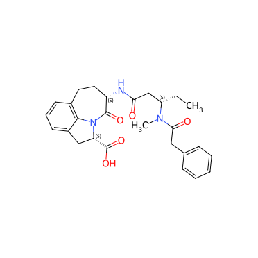 CC[C@@H](CC(=O)N[C@H]1CCc2cccc3c2N(C1=O)[C@H](C(=O)O)C3)N(C)C(=O)Cc1ccccc1